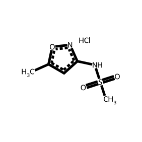 Cc1cc(NS(C)(=O)=O)no1.Cl